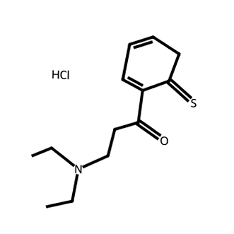 CCN(CC)CCC(=O)C1=CC=CCC1=S.Cl